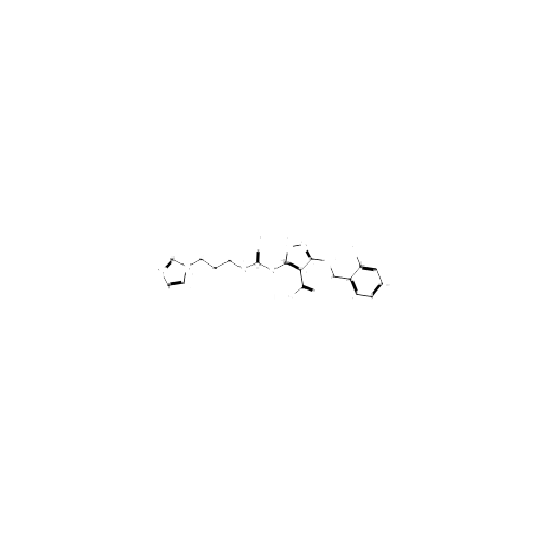 NC(=O)c1c(OCc2ccccc2F)nsc1NC(=O)NCCCn1ccnc1